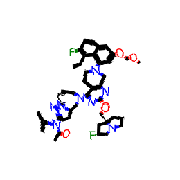 CCc1c(F)ccc2cc(OCOC)cc(N3CCc4c(nc(OC[C@@]56CCCN5C[C@H](F)C6)nc4N4CCCn5nc(N(C(C)=O)C(C)C)cc5C4)C3)c12